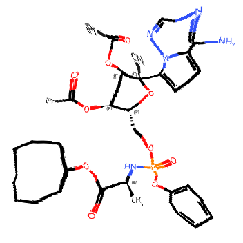 CC(C)C(=O)O[C@H]1[C@@H](OC(=O)C(C)C)[C@](C#N)(c2ccc3c(N)ncnn23)O[C@@H]1COP(=O)(N[C@@H](C)C(=O)OC1CCCCCCC1)Oc1ccccc1